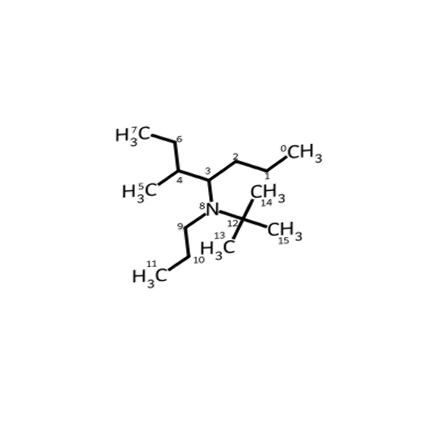 CCCC(C(C)CC)N(CCC)C(C)(C)C